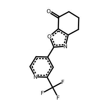 O=C1CCCc2nc(-c3ccnc(C(F)(F)F)c3)oc21